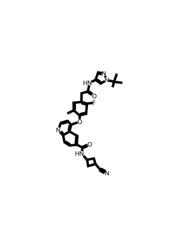 Cc1cc(CC(=O)Nc2cnn(C(C)(C)C)c2)c(F)cc1Oc1ccnc2ccc(C(=O)NC3CC(C#N)C3)cc12